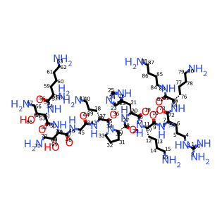 N=C(N)NCC/C=C(\NC(=O)[C@H](CCCCN)NC(=O)[C@H](Cc1cnc[nH]1)NC(=O)[C@@H]1CCCN1C(=O)[C@@H](CCCN)NC(=O)CNC(=O)[C@H](NC(=O)[C@@H](NC(=O)[C@@H](N)CCCCN)[C@@H](O)CN)[C@H](O)CN)C(=O)N[C@@H](CCCCN)C(=O)NCCCCN